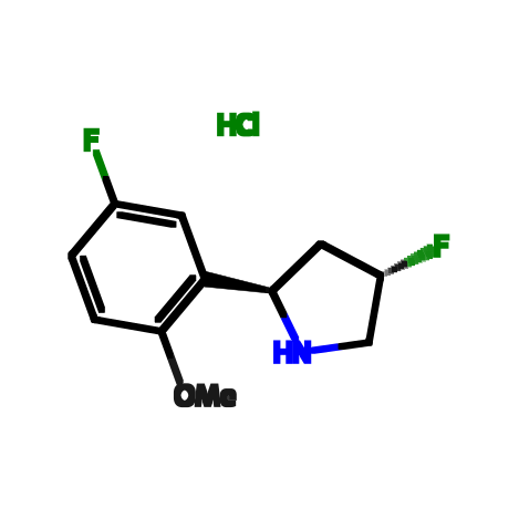 COc1ccc(F)cc1[C@H]1C[C@H](F)CN1.Cl